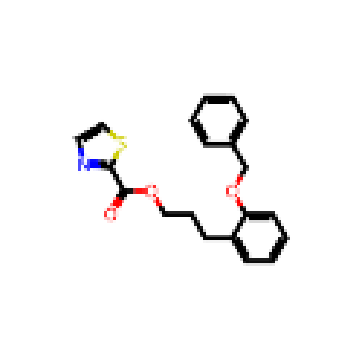 O=C(OCCCc1ccccc1OCc1ccccc1)c1n[c]cs1